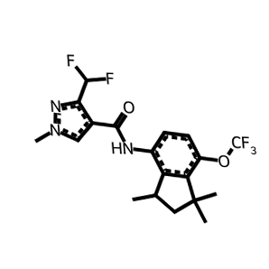 CC1CC(C)(C)c2c(OC(F)(F)F)ccc(NC(=O)c3cn(C)nc3C(F)F)c21